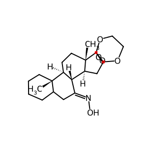 C[C@]12CCCCC1CC(=NO)[C@@H]1[C@@H]2CC[C@@]2(C)[C@H]1CC13OCCOC12OCCO3